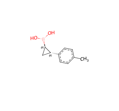 Cc1ccc([C@@H]2C[C@H]2B(O)O)cc1